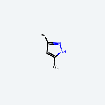 CC(C)c1cc(C(F)(F)F)[nH]n1